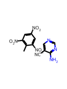 Cc1c([N+](=O)[O-])cc([N+](=O)[O-])cc1[N+](=O)[O-].N#Cc1cncnc1N